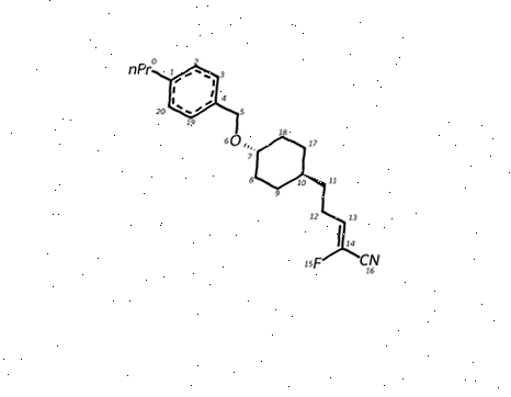 CCCc1ccc(CO[C@H]2CC[C@H](CC/C=C(\F)C#N)CC2)cc1